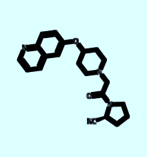 N#C[C@@H]1CCCN1C(=O)CN1CCC(Oc2ccc3ncccc3c2)CC1